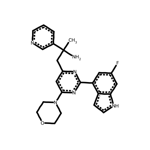 CC(N)(Cc1cc(N2CCOCC2)nc(-c2cc(F)cc3[nH]ccc23)n1)c1cccnc1